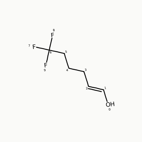 OC=CCCCC(F)(F)F